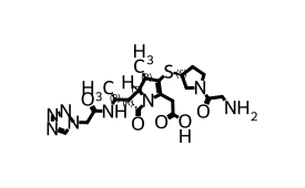 C[C@@H](NC(=O)Cn1cnnn1)[C@H]1C(=O)N2C(CC(=O)O)=C(S[C@H]3CCN(C(=O)CN)C3)[C@H](C)[C@H]12